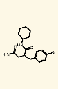 NC(=O)CC(Oc1ccc(Br)cc1)C(=O)NC1CCCCC1